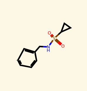 O=S(=O)(NCc1c[c]ccc1)C1CC1